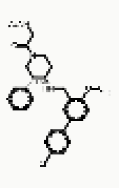 CC(=O)NCC(=O)N1CC[C@H](NCc2cc(-c3ccc(Cl)cc3)ccc2OC(F)(F)F)[C@H](c2ccccc2)C1